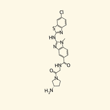 Cn1c(Nc2nc3ccc(Cl)cc3s2)nc2cc(C(=O)NCC(=O)N3CC[C@H](N)C3)ccc21